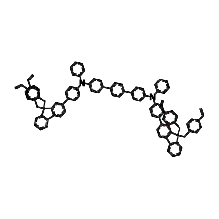 C=Cc1ccc(CC2(Cc3ccc(C=C)cc3)c3ccccc3-c3ccc(-c4ccc(N(c5ccccc5)c5ccc(-c6ccc(-c7ccc(N(c8ccccc8)c8ccc(-c9ccc%10c(c9)C(Cc9ccc(C=C)cc9)(Cc9ccc(C=C)cc9)c9ccccc9-%10)cc8)cc7)cc6)cc5)cc4)cc32)cc1